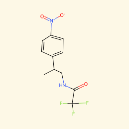 CC(CNC(=O)C(F)(F)F)c1ccc([N+](=O)[O-])cc1